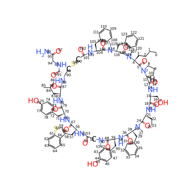 CCCC[C@H]1C(=O)N2CCC[C@@H]2C(=O)N[C@@H](CO)C(=O)N[C@@H](CC)C(=O)N(C)[C@@H](Cc2ccccc2)C(=O)N[C@@H](Cc2ccc(O)cc2)C(=O)N(C)CC(=O)N[C@@H](Cc2csc3ccccc23)C(=O)N[C@@H](Cc2ccc(O)cc2)C(=O)N[C@@H](CC(C)C)C(=O)N[C@H](C(=O)NCC(N)=O)CSCC(=O)N[C@@H](Cc2ccccc2)C(=O)N(C)[C@@H](Cc2ccccc2)C(=O)N1C